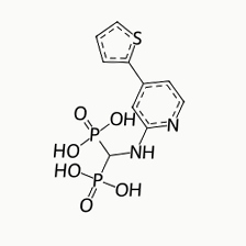 O=P(O)(O)C(Nc1cc(-c2cccs2)ccn1)P(=O)(O)O